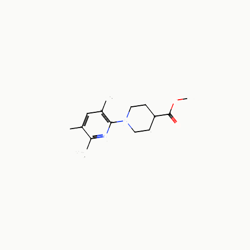 CCOC(=O)c1cc(C#N)c(N2CCC(C(=O)OC(C)(C)C)CC2)nc1OC